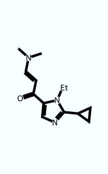 CCn1c(C(=O)C=CN(C)C)cnc1C1CC1